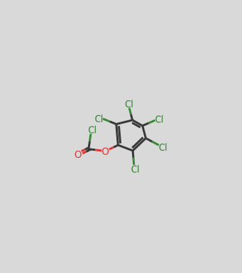 O=C(Cl)Oc1c(Cl)c(Cl)c(Cl)c(Cl)c1Cl